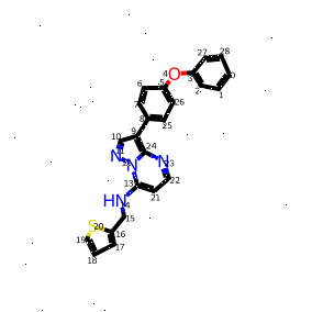 c1ccc(Oc2ccc(-c3cnn4c(NCc5cccs5)ccnc34)cc2)cc1